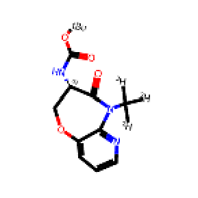 [2H]C([2H])([2H])N1C(=O)[C@@H](NC(=O)OC(C)(C)C)COc2cccnc21